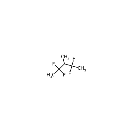 CC(C(C)(F)F)C(C)(F)F